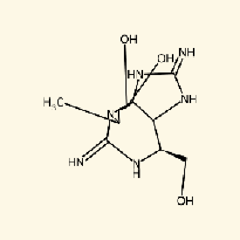 CC1CC(O)(O)C23NC(=N)NC2[C@@H](CO)NC(=N)N13